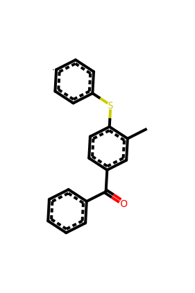 Cc1cc(C(=O)c2ccccc2)ccc1Sc1cc[c]cc1